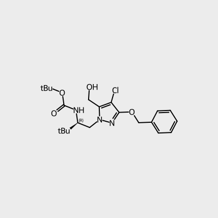 CC(C)(C)OC(=O)N[C@@H](Cn1nc(OCc2ccccc2)c(Cl)c1CO)C(C)(C)C